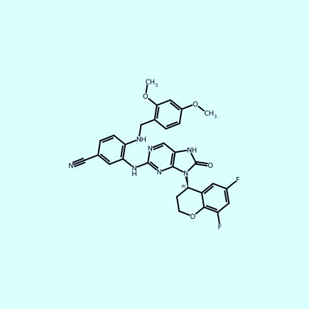 COc1ccc(CNc2ccc(C#N)cc2Nc2ncc3[nH]c(=O)n([C@@H]4CCOc5c(F)cc(F)cc54)c3n2)c(OC)c1